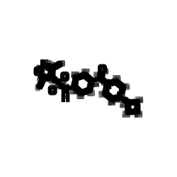 Cc1noc(C)c1S(=O)(=O)N[C@H]1CC[C@H](C(=O)N2CCN(C3CCC3)CC2)CC1